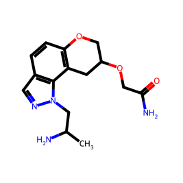 CC(N)Cn1ncc2ccc3c(c21)CC(OCC(N)=O)CO3